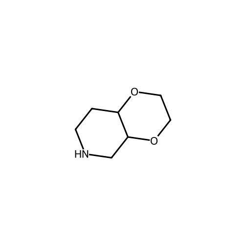 C1CC2OCCOC2CN1